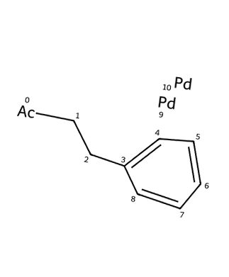 CC(=O)CCc1ccccc1.[Pd].[Pd]